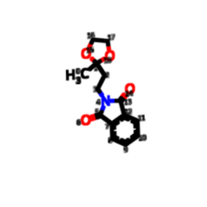 CC1(CCN2C(=O)c3ccccc3C2=O)OCCO1